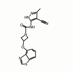 Cc1n[nH]c(NC(=O)N2CC(Oc3cccc4scnc34)C2)c1C#N